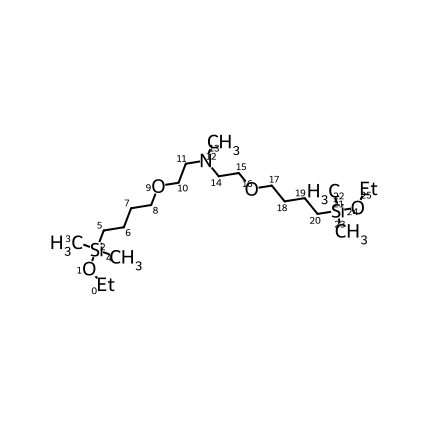 CCO[Si](C)(C)CCCCOCCN(C)CCOCCCC[Si](C)(C)OCC